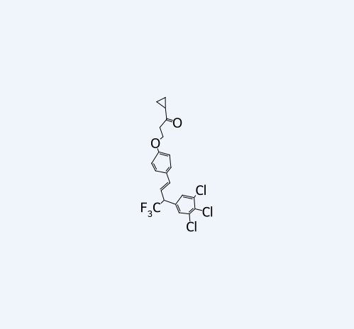 O=C(CCOc1ccc(/C=C/C(c2cc(Cl)c(Cl)c(Cl)c2)C(F)(F)F)cc1)C1CC1